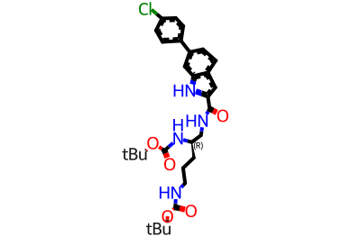 CC(C)(C)OC(=O)NCCC[C@H](CNC(=O)c1cc2ccc(-c3ccc(Cl)cc3)cc2[nH]1)NC(=O)OC(C)(C)C